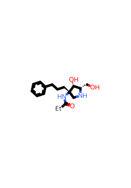 CCC(=O)N[C@@]1(CCCc2ccccc2)CN[C@@H](CO)[C@H]1O